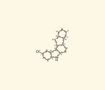 Clc1ccc2[nH]c3ccc4c5ccccc5sc4c3c2c1